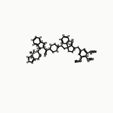 COc1cc(CN2CCC(CCN3CCC(C(=O)c4nc5ccccc5n4C(C)OCc4ccco4)CC3)(c3ccccc3)C2=O)cc(OC)c1OC